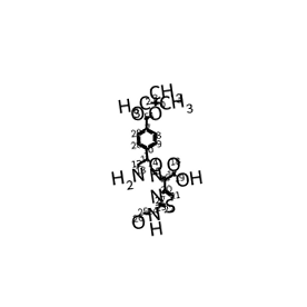 CC(C)(C)OC(=O)c1ccc(C(CN)ON=C(C(=O)O)c2csc(NC=O)n2)cc1